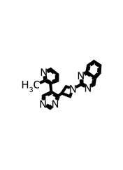 Cc1ncccc1-c1cncnc1C1CN(c2ncc3ccccc3n2)C1